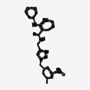 COc1cc(C)cc(Cn2cc(CNC(=O)c3cccnc3Nc3ccccc3)nn2)c1